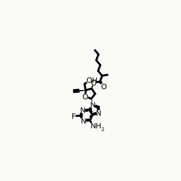 C#C[C@]1(CO)O[C@@H](n2cnc3c(N)nc(F)nc32)C[C@@H]1OC(=O)C(C)CCCCC